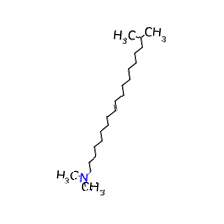 CC(C)CCCCCCCCCCCCCCCCCN(C)C